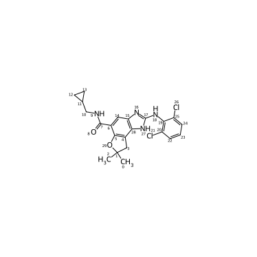 CC1(C)Cc2c(c(C(=O)NCC3CC3)cc3nc(Nc4c(Cl)cccc4Cl)[nH]c23)O1